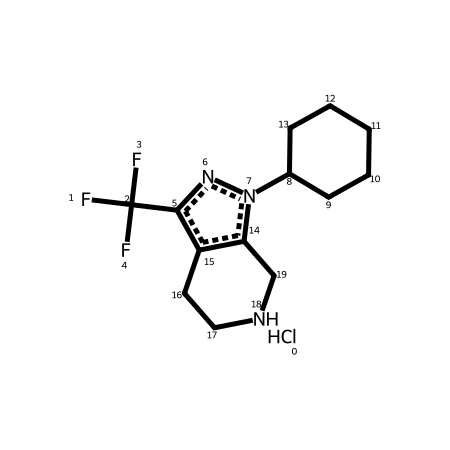 Cl.FC(F)(F)c1nn(C2CCCCC2)c2c1CCNC2